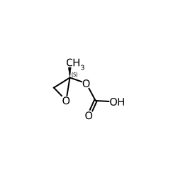 C[C@]1(OC(=O)O)CO1